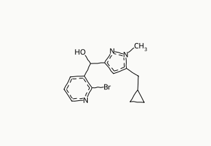 Cn1nc(C(O)c2cccnc2Br)cc1CC1CC1